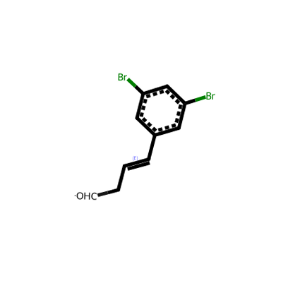 O=[C]C/C=C/c1cc(Br)cc(Br)c1